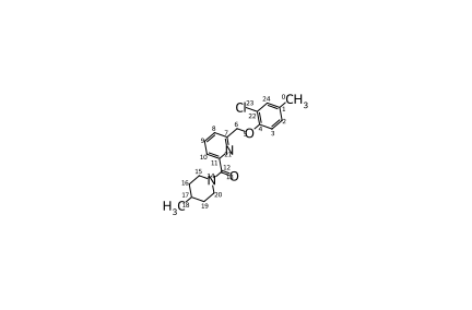 Cc1ccc(OCc2cccc(C(=O)N3CCC(C)CC3)n2)c(Cl)c1